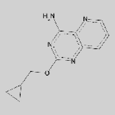 Nc1nc(OCC2CC2)nc2cccnc12